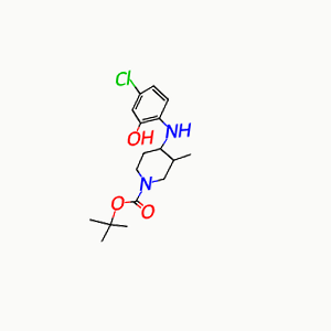 CC1CN(C(=O)OC(C)(C)C)CCC1Nc1ccc(Cl)cc1O